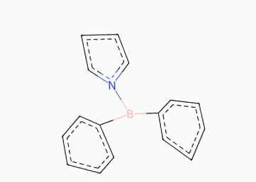 c1ccc(B(c2ccccc2)n2cccc2)cc1